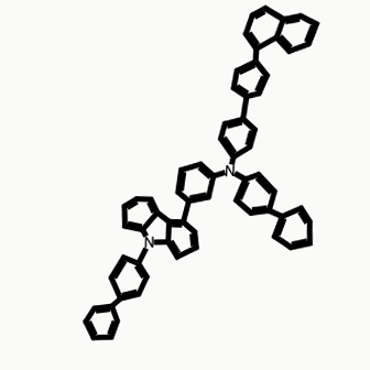 c1ccc(-c2ccc(N(c3ccc(-c4ccc(-c5cccc6ccccc56)cc4)cc3)c3cccc(-c4cccc5c4c4ccccc4n5-c4ccc(-c5ccccc5)cc4)c3)cc2)cc1